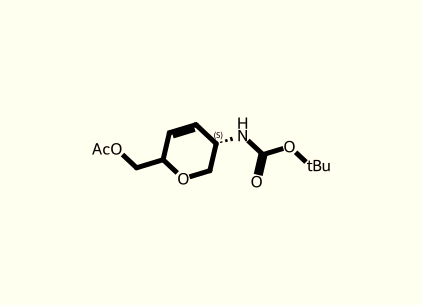 CC(=O)OCC1C=C[C@H](NC(=O)OC(C)(C)C)CO1